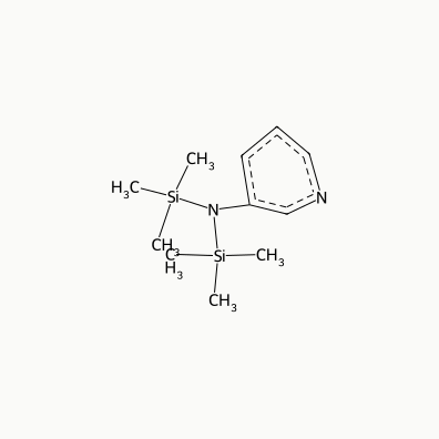 C[Si](C)(C)N(c1cccnc1)[Si](C)(C)C